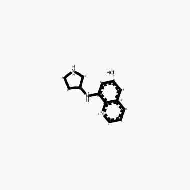 Cl.c1cnc2c(NC3CCNC3)cccc2c1